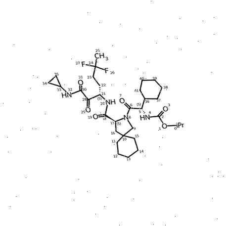 CC(C)OC(=O)N[C@H](C(=O)N1CC2(CCCCC2)C[C@H]1C(=O)N[C@@H](CCC(C)(F)F)C(=O)C(=O)NC1CC1)C1CCCCC1